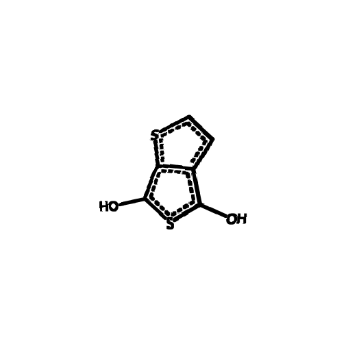 Oc1sc(O)c2sccc12